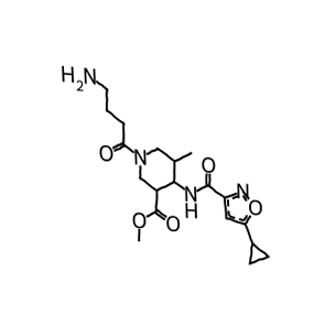 COC(=O)C1CN(C(=O)CCCN)CC(C)C1NC(=O)c1cc(C2CC2)on1